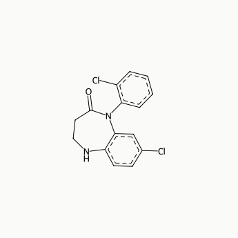 O=C1CCNc2ccc(Cl)cc2N1c1ccccc1Cl